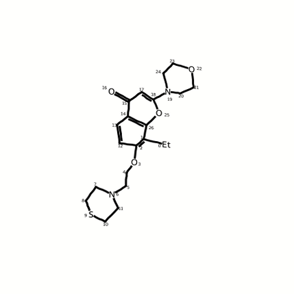 CCc1c(OCCN2CCSCC2)ccc2c(=O)cc(N3CCOCC3)oc12